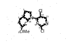 COc1ccc2ccn(-c3nc(Cl)ncc3Cl)c2c1